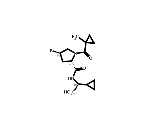 O=C(O)[C@@H](NC(=O)[C@@H]1C[C@@H](F)CN1C(=O)C1(C(F)(F)F)CC1)C1CC1